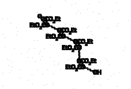 CCOC(=O)c1cc(OCCCCCCCCOc2cc(C(=O)OCC)c(OCCCCCCCCOc3cc(C(=O)OCC)c(OCCCCCCCCOc4cc(C(=O)OCC)c(OCc5ccccc5)cc4C(=O)OCC)cc3C(=O)OCC)cc2C(=O)OCC)c(C(=O)OCC)cc1OCCCCCCCCO